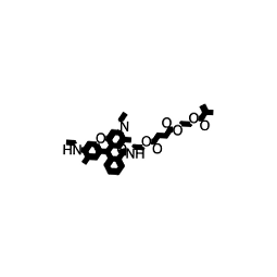 C=C(C)C(=O)OCCOC(=O)CCC(=O)OCCNC(=O)c1ccccc1C1c2cc(C)c(NCC)cc2OC2=C/C(=N\CC)C(C)=CC21